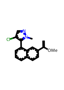 C=C(OC)c1ccc2cccc(-c3c(Cl)cnn3C)c2c1